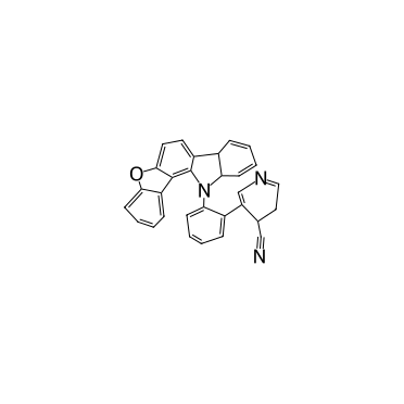 N#CC1CC=NC=C1c1ccccc1N1c2c(ccc3oc4ccccc4c23)C2C=CC=CC21